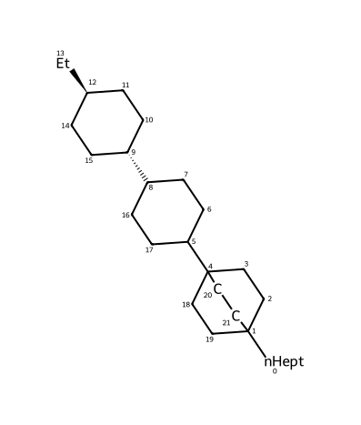 CCCCCCCC12CCC(C3CCC([C@H]4CC[C@H](CC)CC4)CC3)(CC1)CC2